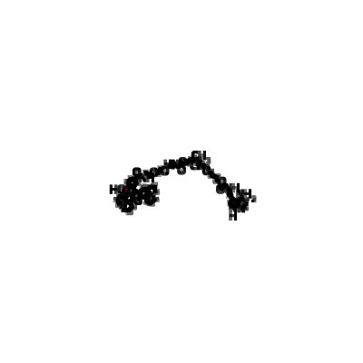 CC(C)(CCOC(=O)NCCOCCOCCNC(=O)c1ccc(C(=O)O)c(C2=c3cc4c5c(c3Oc3c2cc2c6c3CCCN6CCC2)CCC[N+]=5CCC4)c1)SSCOCCCCOC(=O)NC#Cc1c[nH]c2ncnc(N)c12